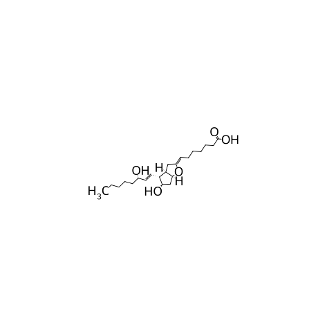 CCCCC[C@H](O)/C=C/[C@@H]1[C@H]2C/C(=C/CCCCCC(=O)O)O[C@H]2C[C@H]1O